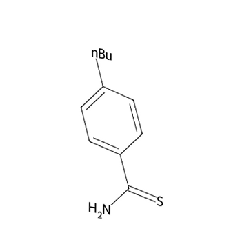 CCCCc1ccc(C(N)=S)cc1